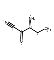 CC[C@H](N)C(=O)C#N